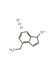 CCc1cccc2c1C=C[CH]2[Ti+3].[Cl-].[Cl-].[Cl-]